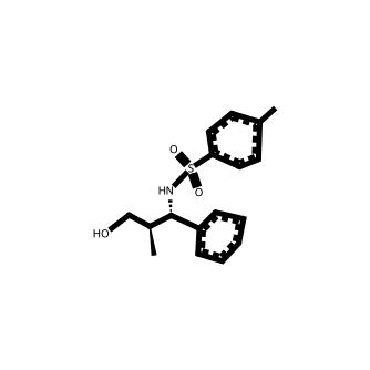 Cc1ccc(S(=O)(=O)N[C@H](c2ccccc2)[C@@H](C)CO)cc1